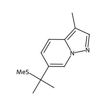 CSC(C)(C)c1ccc2c(C)cnn2c1